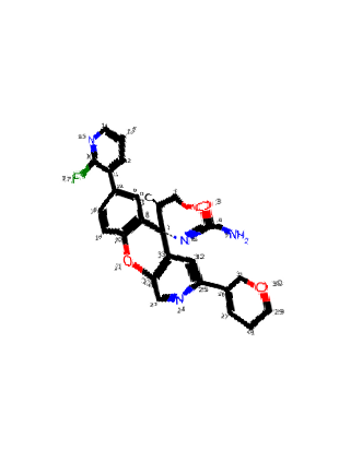 C[C@@H]1COC(N)=N[C@]12c1cc(-c3cccnc3F)ccc1Oc1cnc(C3=CCCOC3)cc12